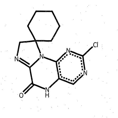 O=C1Nc2cnc(Cl)nc2N2C1=NCC21CCCCC1